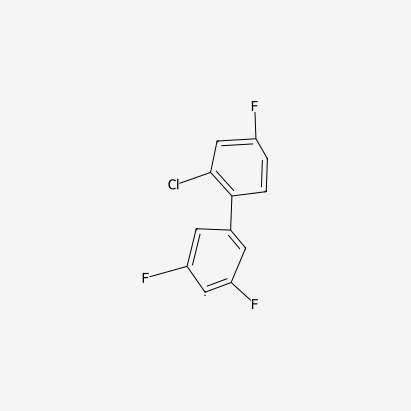 Fc1[c]c(F)cc(-c2ccc(F)cc2Cl)c1